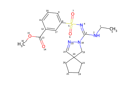 CCN/C(=N/S(=O)(=O)c1cccc(C(=O)OC)c1)N1CC2(C=N1)CCCC2